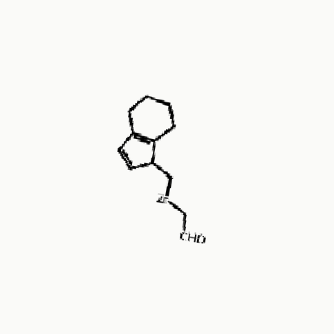 O=C[CH2][Zr][CH2]C1C=CC2=C1CCCC2